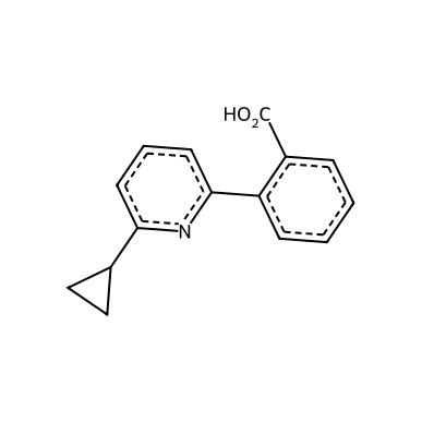 O=C(O)c1ccccc1-c1cccc(C2CC2)n1